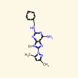 CCn1c(-n2nc(C)cc2C)nc2c(N)nc(NCc3ccccc3)nc21